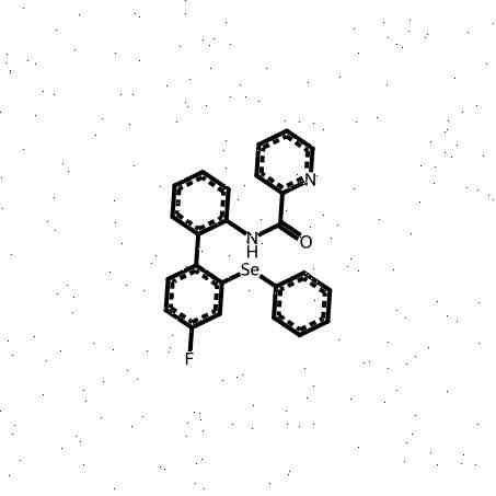 O=C(Nc1ccccc1-c1ccc(F)cc1[Se]c1ccccc1)c1ccccn1